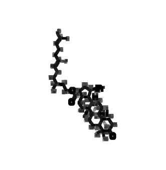 CC(C)=CCC/C(C)=C/CC/C(C)=C/COC(=O)[C@]12CC[C@@H](C(C)C)C1[C@H]1CC[C@@H]3[C@@]4(C)CCC(=O)C(C)(C)C4CC[C@@]3(C)[C@]1(C)CC2